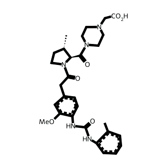 COc1cc(CC(=O)N2CC[C@H](C)[C@H]2C(=O)N2CCN(CC(=O)O)CC2)ccc1NC(=O)Nc1ccccc1C